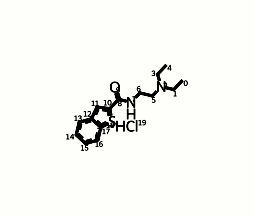 CCN(CC)CCNC(=O)c1cc2ccccc2s1.Cl